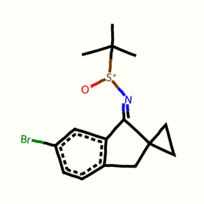 CC(C)(C)[S+]([O-])/N=C1\c2cc(Br)ccc2CC12CC2